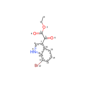 CCOC(=O)C(=O)c1c[nH]c2c(Br)cccc12